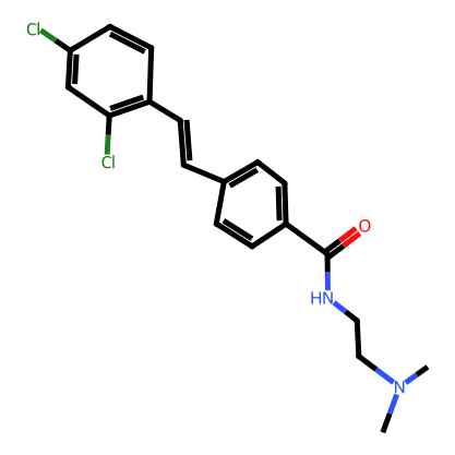 CN(C)CCNC(=O)c1ccc(/C=C/c2ccc(Cl)cc2Cl)cc1